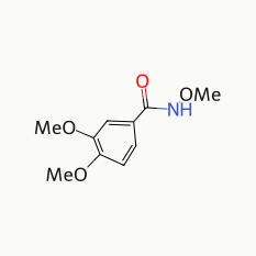 CONC(=O)c1ccc(OC)c(OC)c1